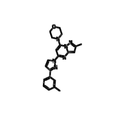 Cc1cccc(-c2ccn(-c3cc(N4CCOCC4)n4nc(C)cc4n3)n2)c1